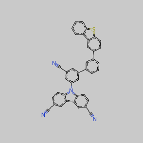 N#Cc1cc(-c2cccc(-c3ccc4sc5ccccc5c4c3)c2)cc(-n2c3ccc(C#N)cc3c3cc(C#N)ccc32)c1